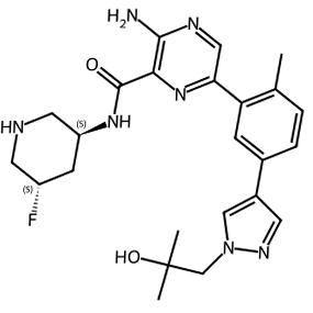 Cc1ccc(-c2cnn(CC(C)(C)O)c2)cc1-c1cnc(N)c(C(=O)N[C@@H]2CNC[C@@H](F)C2)n1